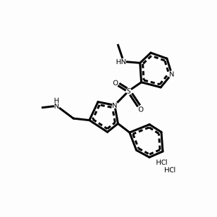 CNCc1cc(-c2ccccc2)n(S(=O)(=O)c2cnccc2NC)c1.Cl.Cl